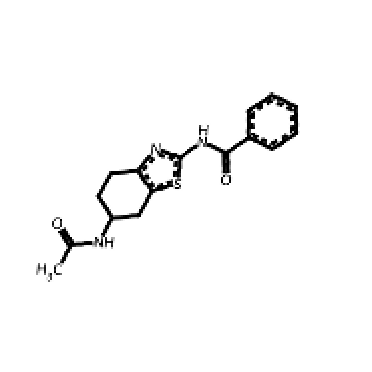 CC(=O)NC1CCc2nc(NC(=O)c3ccccc3)sc2C1